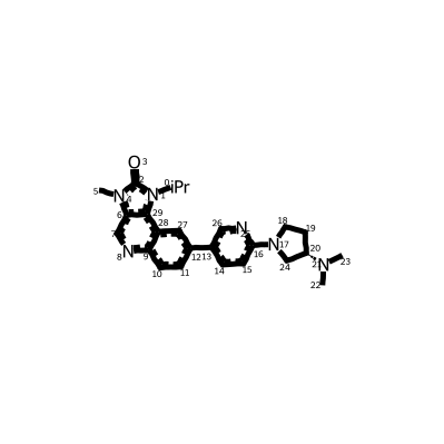 CC(C)n1c(=O)n(C)c2cnc3ccc(-c4ccc(N5CC[C@H](N(C)C)C5)nc4)cc3c21